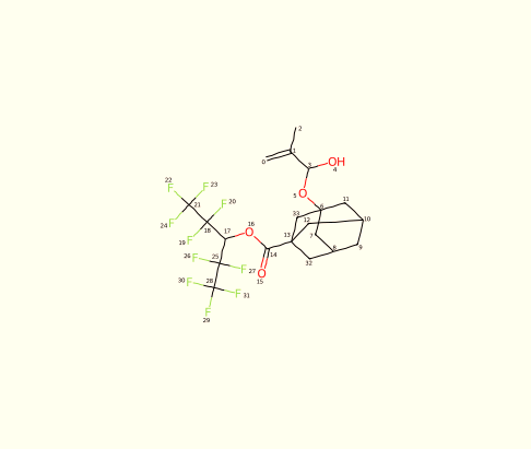 C=C(C)C(O)OC12CC3CC(C1)CC(C(=O)OC(C(F)(F)C(F)(F)F)C(F)(F)C(F)(F)F)(C3)C2